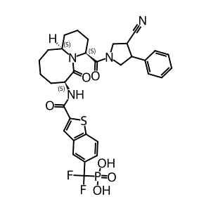 N#CC1CN(C(=O)[C@@H]2CCC[C@@H]3CCCC[C@H](NC(=O)c4cc5cc(C(F)(F)P(=O)(O)O)ccc5s4)C(=O)N32)CC1c1ccccc1